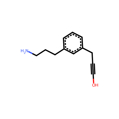 NCCCc1cccc(CC#CO)c1